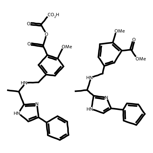 COC(=O)c1cc(CNC(C)c2nc(-c3ccccc3)c[nH]2)ccc1OC.COc1ccc(CNC(C)c2nc(-c3ccccc3)c[nH]2)cc1C(=O)OC(=O)C(=O)O